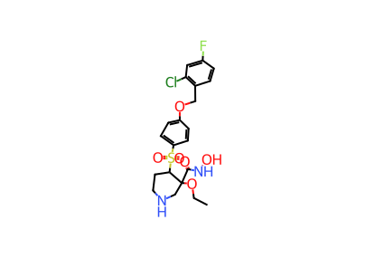 CCOC1(C(=O)NO)CNCCC1S(=O)(=O)c1ccc(OCc2ccc(F)cc2Cl)cc1